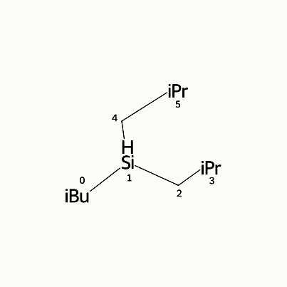 CCC(C)[SiH](CC(C)C)CC(C)C